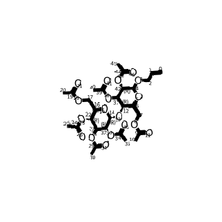 C=CCOC1OC(COC(C)=O)[C@@H](O[C@H]2OC(COC(C)=O)[C@@H](OC(C)=O)C(OC(C)=O)[C@H]2OC(C)=O)C(OC(C)=O)[C@H]1OC(C)=O